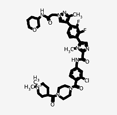 Cc1nn(CC(=O)NC2CCCOC2)cc1-c1ccc(-c2cnc(C(=O)Nc3ccc(C(=O)N4CCN(C(=O)C5CC[N+](C)(C)CC5)CC4)c(Cl)c3)n2C)c(F)c1F